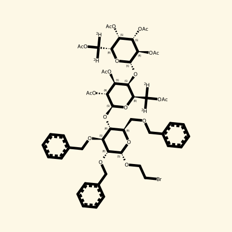 [2H]C([2H])(OC(C)=O)[C@H]1O[C@@H](O[C@@H]2[C@H](OC(C)=O)[C@@H](OC(C)=O)[C@H](O[C@H]3[C@H](OCc4ccccc4)[C@@H](OCc4ccccc4)[C@@H](OCCBr)O[C@@H]3COCc3ccccc3)O[C@@H]2C([2H])([2H])OC(C)=O)[C@H](OC(C)=O)[C@@H](OC(C)=O)[C@H]1OC(C)=O